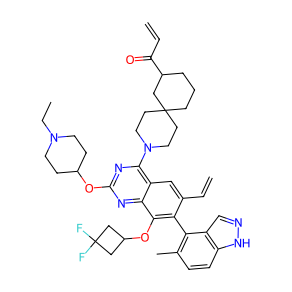 C=CC(=O)C1CCCC2(CCN(c3nc(OC4CCN(CC)CC4)nc4c(OC5CC(F)(F)C5)c(-c5c(C)ccc6[nH]ncc56)c(C=C)cc34)CC2)C1